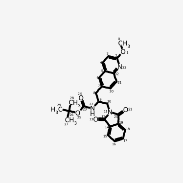 COc1ccc2cc(CC(CN3C(=O)c4ccccc4C3=O)NC(=O)OC(C)(C)C)ccc2n1